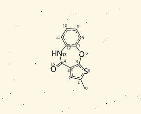 Cc1cc2c(s1)Oc1ccccc1NC2=O